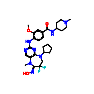 COc1cc(C(=O)NC2CCN(C)CC2)ccc1Nc1ncc2c(n1)N(C1CCCC1)CC(F)(F)C(=NO)N2C